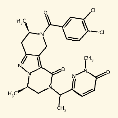 CC(c1ccc(=O)n(C)n1)N1C[C@@H](C)n2nc3c(c2C1=O)CN(C(=O)c1ccc(Cl)c(Cl)c1)[C@H](C)C3